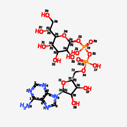 Nc1ncnc2c1ncn2[C@@H]1O[C@H](COP(=O)(O)OP(=O)(O)O[C@@H]2OC([C@H](O)CO)[C@@H](O)C(O)C2O)C(O)C1O